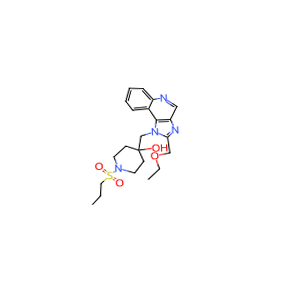 CCCS(=O)(=O)N1CCC(O)(Cn2c(COCC)nc3cnc4ccccc4c32)CC1